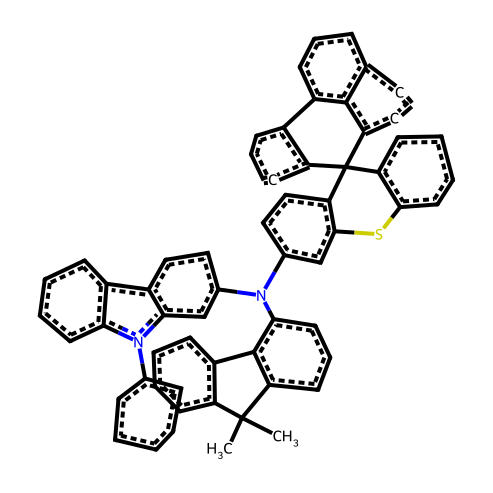 CC1(C)c2ccccc2-c2c(N(c3ccc4c(c3)Sc3ccccc3C43c4ccccc4-c4cccc5cccc3c45)c3ccc4c5ccccc5n(-c5ccccc5)c4c3)cccc21